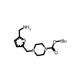 CC(C)(C)OC(=O)N1CCN(Cc2ccc(CN)s2)CC1